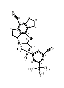 CC(C)(O)c1cc(C#N)cc(S(N)(=O)=NC(O)Nc2c3c(c(C#N)c4c2CCC4)CCC3)c1